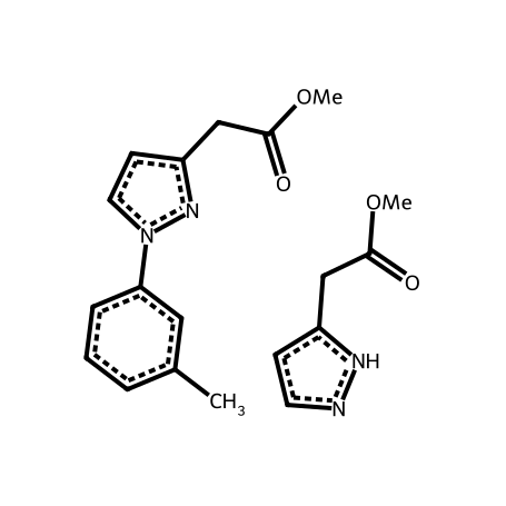 COC(=O)Cc1ccn(-c2cccc(C)c2)n1.COC(=O)Cc1ccn[nH]1